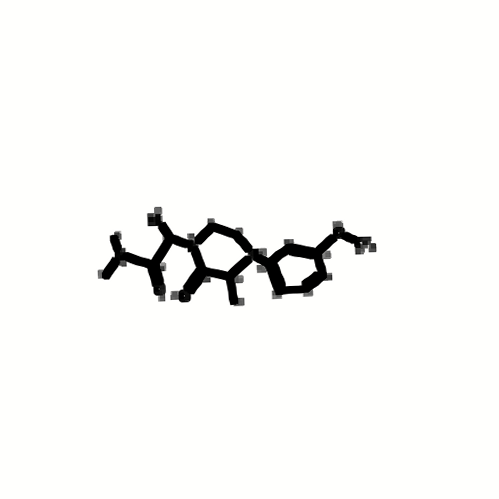 CCC(C(=O)N(C)C)N1CCN(c2cccc(OC(F)(F)F)c2)C(C)C1=O